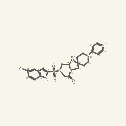 O=C1CN(S(=O)(=O)c2cc3cc(Cl)ccc3s2)CC2OC3(CCN(c4ccncc4)CC3)CN12